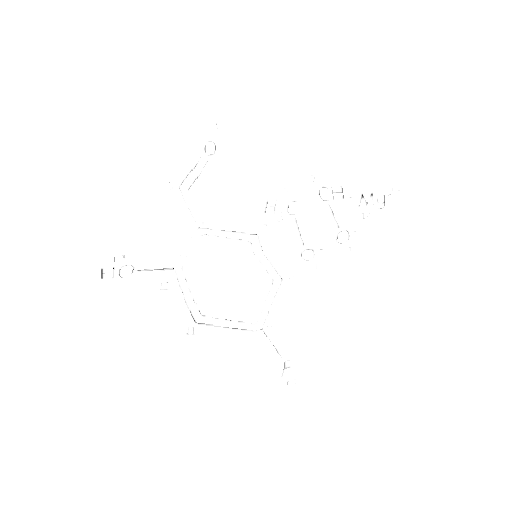 C[O-].C[O-].O=Cc1ccc(F)cc1O.[Mg+2]